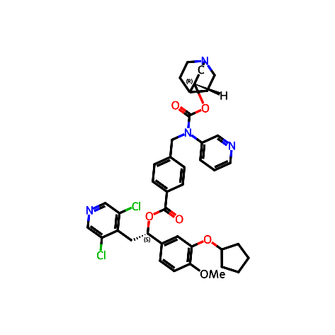 COc1ccc([C@H](Cc2c(Cl)cncc2Cl)OC(=O)c2ccc(CN(C(=O)O[C@H]3CN4CCC3CC4)c3cccnc3)cc2)cc1OC1CCCC1